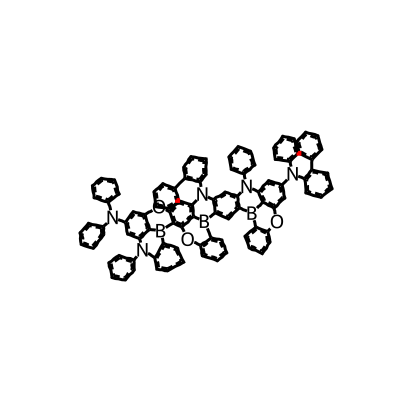 c1ccc(-c2ccccc2N(c2ccccc2)c2cc3c4c(c2)N(c2ccccc2)c2cc5c(cc2B4c2ccccc2O3)B2c3ccccc3Oc3c4c(cc(c32)N5c2ccccc2-c2ccccc2)Oc2cc(N(c3ccccc3)c3ccccc3)cc3c2B4c2ccccc2N3c2ccccc2)cc1